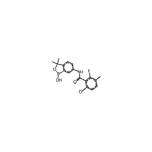 Cc1ccc(Cl)c(C(=O)Nc2ccc3c(c2)B(O)OC3(C)C)c1F